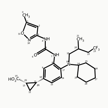 Cc1cc(NC(=O)Nc2cc([C@@H]3C[C@@H]3C(=O)O)ccc2N(CC(C)CC(F)(F)F)C2CCCCC2)no1